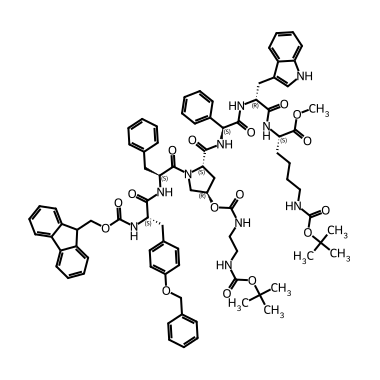 COC(=O)[C@H](CCCCNC(=O)OC(C)(C)C)NC(=O)[C@@H](Cc1c[nH]c2ccccc12)NC(=O)[C@@H](NC(=O)[C@@H]1C[C@@H](OC(=O)NCCNC(=O)OC(C)(C)C)CN1C(=O)[C@H](Cc1ccccc1)NC(=O)[C@H](Cc1ccc(OCc2ccccc2)cc1)NC(=O)OCC1c2ccccc2-c2ccccc21)c1ccccc1